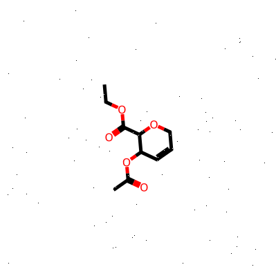 CCOC(=O)C1OCC=CC1OC(C)=O